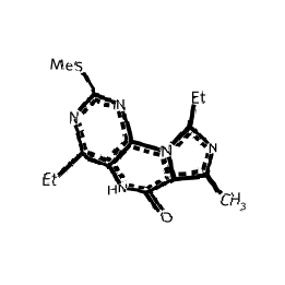 CCc1nc(SC)nc2c1[nH]c(=O)c1c(C)nc(CC)n12